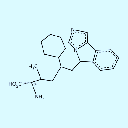 CC(CC(CC1c2ccccc2-c2cncn21)C1CCCCC1)[C@H](N)C(=O)O